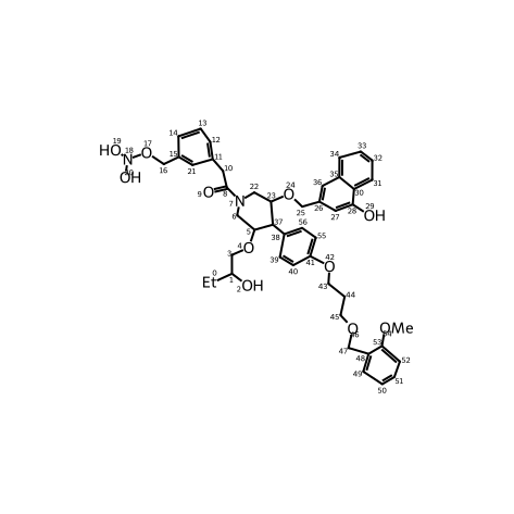 CCC(O)COC1CN(C(=O)Cc2cccc(CON(O)O)c2)CC(OCc2cc(O)c3ccccc3c2)C1c1ccc(OCCCOCc2ccccc2OC)cc1